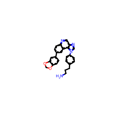 NCCCc1ccc(-n2cnc3cnc4ccc(-c5ccc6c(c5)OCO6)cc4c32)cc1